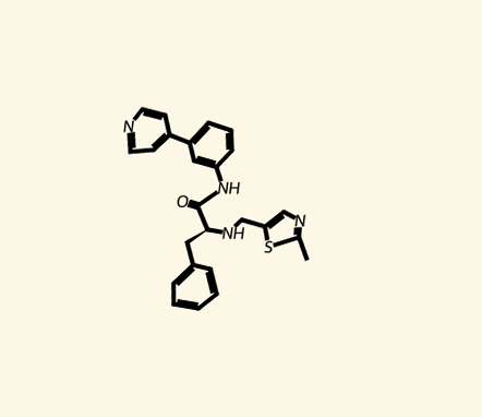 Cc1ncc(CN[C@@H](Cc2ccccc2)C(=O)Nc2cccc(-c3ccncc3)c2)s1